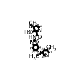 COc1ccnc(C(=O)Nc2nc3ccc(N(C)c4cncc(C)c4)cc3s2)c1O